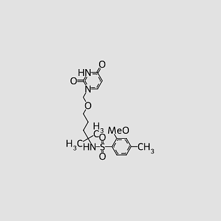 COc1cc(C)ccc1S(=O)(=O)NC(C)(C)CCCOCn1ccc(=O)[nH]c1=O